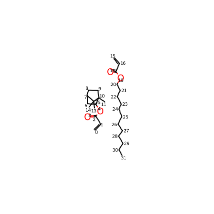 C=CC(=O)OC1CC2CCC1(C)C2(C)C.C=CC(=O)OCCCCCCCCCCCC